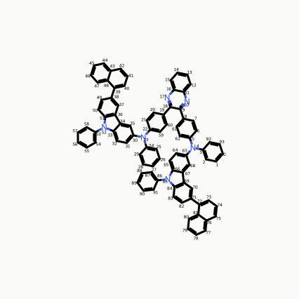 c1ccc(N(c2ccc(-c3nc4ccccc4nc3-c3ccc(N(c4ccccc4)c4ccc5c(c4)c4cc(-c6cccc7ccccc67)ccc4n5-c4ccccc4)cc3)cc2)c2ccc3c(c2)c2cc(-c4cccc5ccccc45)ccc2n3-c2ccccc2)cc1